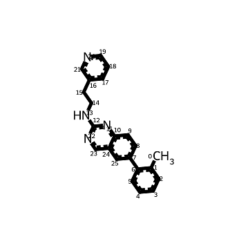 Cc1ccccc1-c1ccc2nc(NCCc3cccnc3)ncc2c1